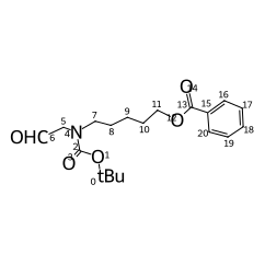 CC(C)(C)OC(=O)N(CC=O)CCCCCOC(=O)c1ccccc1